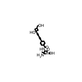 CC(C)(N)C(NC(=O)c1ccc(C#CC#CC2(O)CC(CO)C2)cc1)C(=O)NO